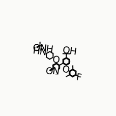 CC(=O)NNC1CCC(Oc2cc(=O)n(C)cc2-c2cc(C(C)(C)O)ccc2Oc2c(C)cc(F)cc2C)CC1